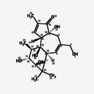 CC(=O)O[C@]12C([C@@H]3C=C(CO)C[C@]4(O)C(=O)C(C)=C[C@H]4[C@@]3(O)[C@H](C)[C@H]1O)C2(C)C